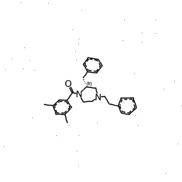 Cc1cc(C)cc(C(=O)N2CCN(CCc3ccccc3)C[C@H]2Cc2ccccc2)c1